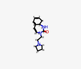 O=C1NC2CC=CC=C2C=CN1CCN1CCCC1